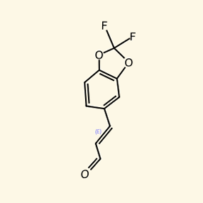 O=C/C=C/c1ccc2c(c1)OC(F)(F)O2